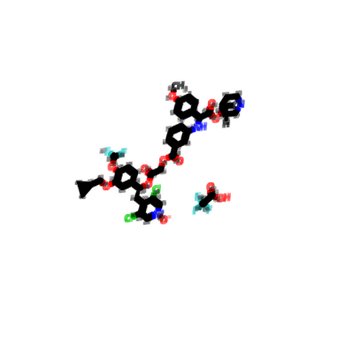 COc1ccc(C(Nc2cccc(C(=O)OCC(=O)O[C@@H](Cc3c(Cl)c[n+]([O-])cc3Cl)c3ccc(OC(F)F)c(OCC4CC4)c3)c2)C(=O)O[C@H]2CN3CCC2CC3)cc1.O=C(O)C(F)(F)F